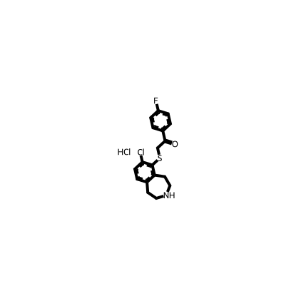 Cl.O=C(CSc1c(Cl)ccc2c1CCNCC2)c1ccc(F)cc1